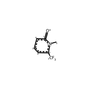 Cn1c(C(F)(F)F)cccc1=O